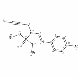 CC#CCN(C=Nc1ccc(C(C)=O)cc1)P(=O)(OCC)SCCC